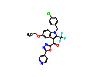 CCOc1ccc2c(c1)c(C(=O)c1nnc(-c3ccncc3)o1)c(C(F)(F)F)n2Cc1ccc(Cl)cc1